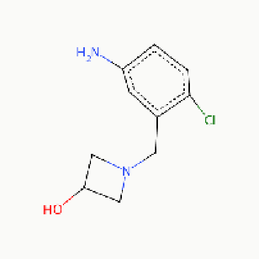 Nc1ccc(Cl)c(CN2CC(O)C2)c1